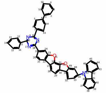 c1ccc(-c2ccc(-c3nc(-c4ccccc4)nc(-c4ccc5c(c4)oc4c5ccc5c6ccc(-n7c8ccccc8c8ccccc87)cc6oc54)n3)cc2)cc1